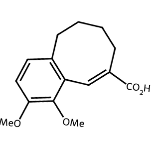 COc1ccc2c(c1OC)C=C(C(=O)O)CCCC2